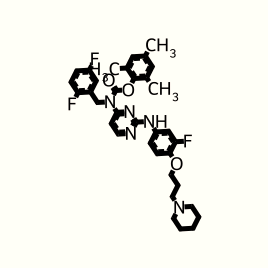 Cc1cc(C)c(OC(=O)N(Cc2cc(F)ccc2F)c2ccnc(Nc3ccc(OCCCN4CCCCC4)c(F)c3)n2)c(C)c1